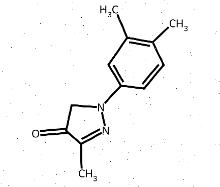 CC1=NN(c2ccc(C)c(C)c2)CC1=O